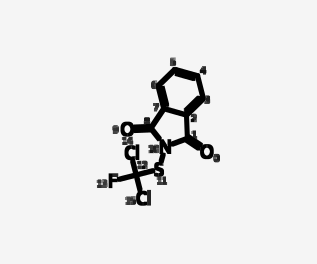 O=C1c2ccccc2C(=O)N1SC(F)(Cl)Cl